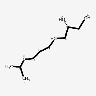 CC(C)OCCCNC[C@H](O)CO